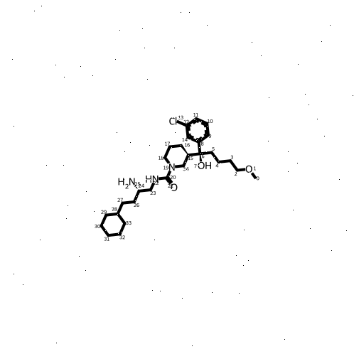 COCCCC[C@@](O)(c1cccc(Cl)c1)[C@@H]1CCCN(C(=O)NC[C@@H](N)CCC2CCCCC2)C1